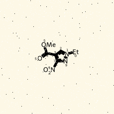 CCn1cc(C(=O)OC)c([N+](=O)[O-])n1